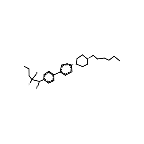 CCCCCC[C@H]1CC[C@H](c2ccc(-c3ccc(C(F)C(F)(F)CCC)cc3)cc2)CC1